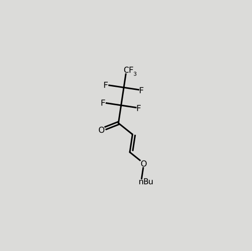 CCCCO/C=C/C(=O)C(F)(F)C(F)(F)C(F)(F)F